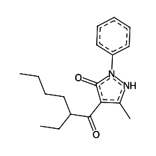 CCCCC(CC)C(=O)c1c(C)[nH]n(-c2ccccc2)c1=O